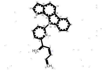 C=C/C=C\C(=C)c1cccc(-n2c3ccccc3c3ccc4ccsc4c32)n1